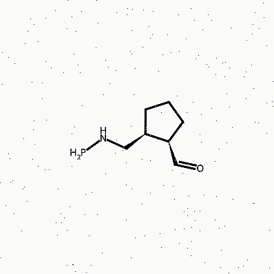 O=C[C@@H]1CCC[C@@H]1CNP